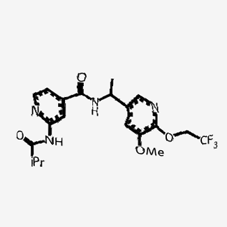 COc1cc(C(C)NC(=O)c2ccnc(NC(=O)C(C)C)c2)cnc1OCC(F)(F)F